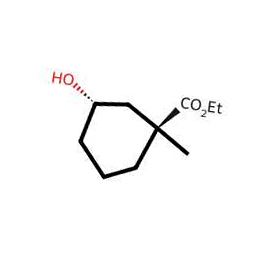 CCOC(=O)[C@@]1(C)CCC[C@H](O)C1